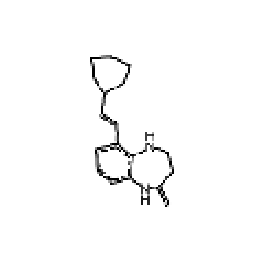 C=C1CCNc2c(/C=C/C3CCCCC3)cccc2N1